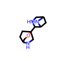 C1CC2(C3NCC4CC3N4)CNC1CO2